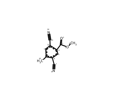 COC(=O)c1cc(C#N)c(C)cc1C#N